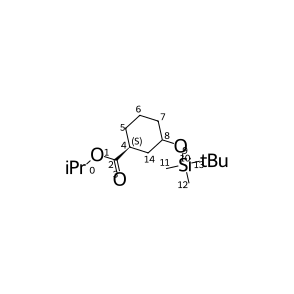 CC(C)OC(=O)[C@H]1CCCC(O[Si](C)(C)C(C)(C)C)C1